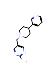 Cc1ncc(CN2CCC(c3cccnc3)CC2)cn1